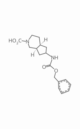 O=C(NC1C[C@@H]2CCN(C(=O)O)C[C@@H]2C1)OCc1ccccc1